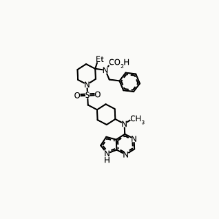 CCC1(N(Cc2ccccc2)C(=O)O)CCCN(S(=O)(=O)CC2CCC(N(C)c3ncnc4[nH]ccc34)CC2)C1